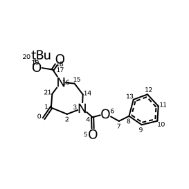 C=C1CN(C(=O)OCc2ccccc2)CCN(C(=O)OC(C)(C)C)C1